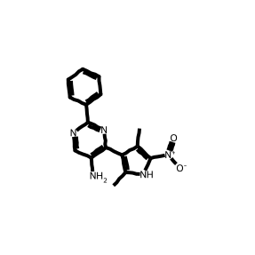 Cc1[nH]c([N+](=O)[O-])c(C)c1-c1nc(-c2ccccc2)ncc1N